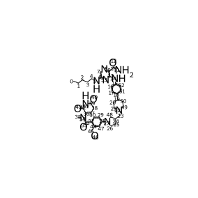 CCCCCNc1cnc(C(N)=O)c(Nc2ccc(C3CCN(CC4CCN(c5ccc(C(=O)N(C)C6CCC(=O)NC6=O)c(C=O)c5)C4)CC3)cc2)n1